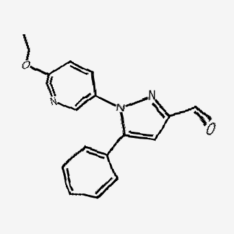 COc1ccc(-n2nc(C=O)cc2-c2ccccc2)cn1